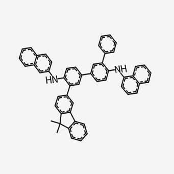 CC1(C)c2ccccc2-c2cc(-c3cc(-c4ccc(Nc5cccc6ccccc56)c(-c5ccccc5)c4)ccc3Nc3ccc4ccccc4c3)ccc21